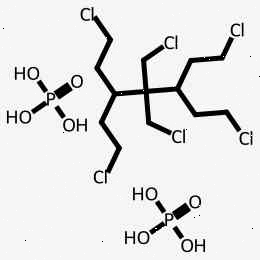 ClCCC(CCCl)C(CCl)(CCl)C(CCCl)CCCl.O=P(O)(O)O.O=P(O)(O)O